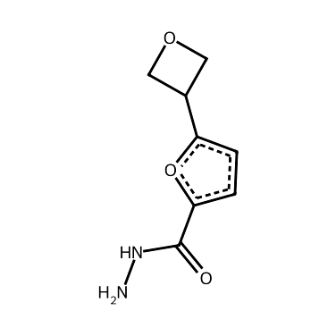 NNC(=O)c1ccc(C2COC2)o1